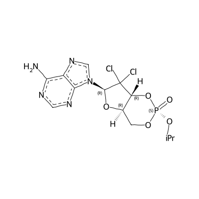 CC(C)O[P@]1(=O)OC[C@H]2O[C@@H](n3cnc4c(N)ncnc43)C(Cl)(Cl)[C@@H]2O1